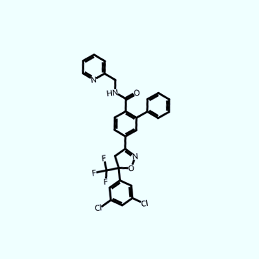 O=C(NCc1ccccn1)c1ccc(C2=NOC(c3cc(Cl)cc(Cl)c3)(C(F)(F)F)C2)cc1-c1ccccc1